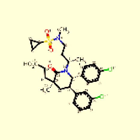 C[C@@H](CCN(C)S(=O)(=O)C1CC1)N1C(=O)[C@](C)(CCC(=O)O)C[C@H](c2cccc(Cl)c2)[C@H]1c1ccc(Cl)cc1